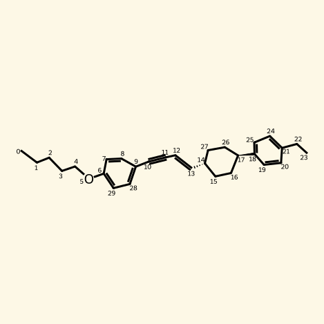 CCCCCOc1ccc(C#C/C=C/[C@H]2CC[C@H](c3ccc(CC)cc3)CC2)cc1